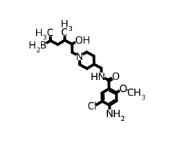 BC(C)CC(C)C(O)CN1CCC(CNC(=O)c2cc(Cl)c(N)cc2OC)CC1